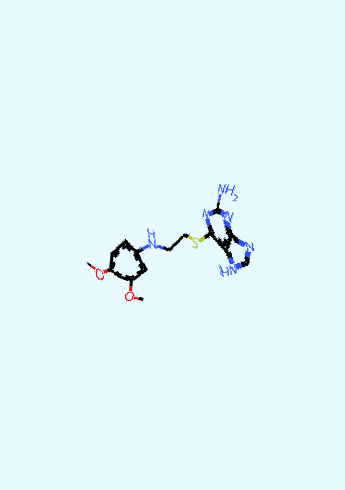 COc1ccc(NCCSc2nc(N)nc3nc[nH]c23)cc1OC